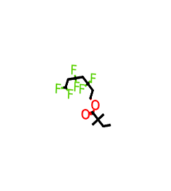 CCC(C)(C)C(=O)OCCC(F)(F)CC(F)(F)CC(F)F